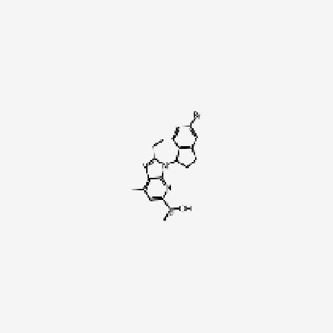 CCc1nc2c(C)cc([C@H](C)O)nc2n1C1CCc2cc(Br)ccc21